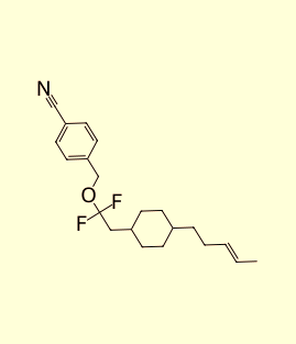 CC=CCCC1CCC(CC(F)(F)OCc2ccc(C#N)cc2)CC1